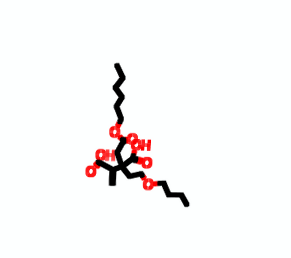 C=C(C(=O)O)C(CCOCCCC)(CC(=O)OCCCCCC)C(=O)O